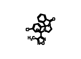 Cc1nonc1C(=O)N1CCN2C(=O)c3ccccc3C21c1ccc(Cl)cc1